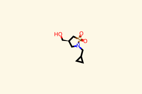 O=S1(=O)C[C@H](CO)CN1CC1CC1